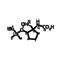 CC(C)(C)[Si](C)(C)OC1CCCC1(C=O)NC(=O)O